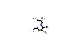 C/C=C\CC(C)C(C)NC[C@@H](C)CC